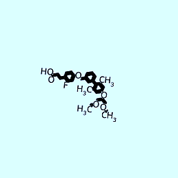 CCOCC(COCC)Oc1cc(C)c(-c2cccc(COc3ccc(CCC(=O)O)c(F)c3)c2)c(C)c1